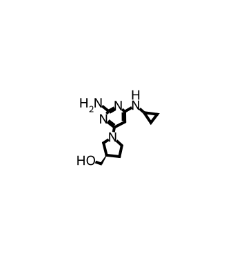 Nc1nc(NC2CC2)cc(N2CC[C@@H](CO)C2)n1